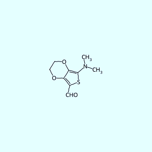 CN(C)c1sc(C=O)c2c1OCCO2